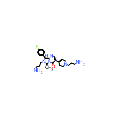 C=C1N(C(=O)/C(=C\N)C2=CCN(CCCN)CC2)C=C(c2ccc(F)cc2)N1CCCN